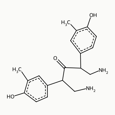 Cc1cc(C(CN)C(=O)C(CN)c2ccc(O)c(C)c2)ccc1O